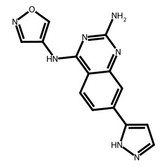 Nc1nc(Nc2cnoc2)c2ccc(-c3ccn[nH]3)cc2n1